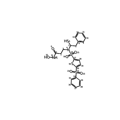 O=C(CCN(C(S)Cc1ccccc1)S(=O)(=O)c1ccc(S(=O)(=O)c2ccccc2)s1)NO